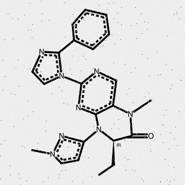 CC[C@@H]1C(=O)N(C)c2cnc(-n3ccnc3-c3ccccc3)nc2N1c1ccn(C)n1